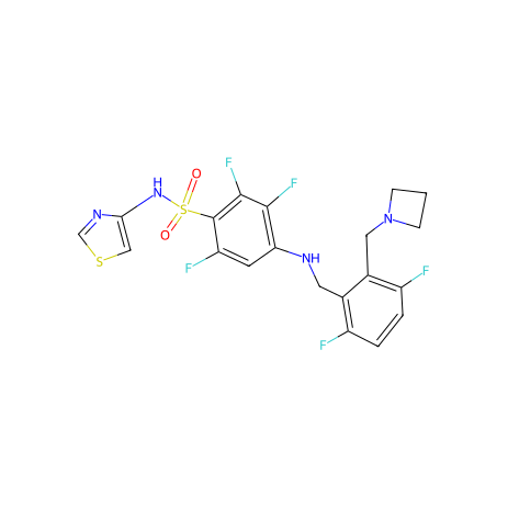 O=S(=O)(Nc1cscn1)c1c(F)cc(NCc2c(F)ccc(F)c2CN2CCC2)c(F)c1F